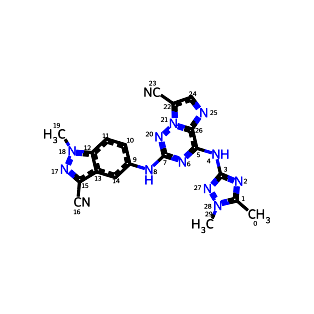 Cc1nc(Nc2nc(Nc3ccc4c(c3)c(C#N)nn4C)nn3c(C#N)cnc23)nn1C